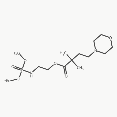 CC(C)(C)OP(=O)(NCCOC(=O)C(C)(C)CCN1CCOCC1)OC(C)(C)C